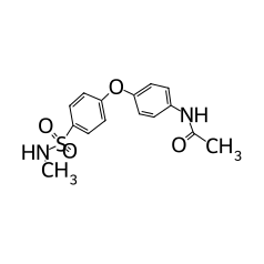 CNS(=O)(=O)c1ccc(Oc2ccc(NC(C)=O)cc2)cc1